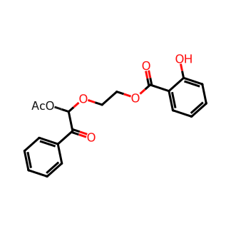 CC(=O)OC(OCCOC(=O)c1ccccc1O)C(=O)c1ccccc1